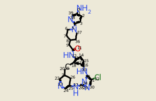 Nc1ccc(N2CCC(CC(=O)Nc3ccc4cc3CCC3C=NC=C(C3)Nc3ncc(Cl)c(n3)N4)CC2)nc1